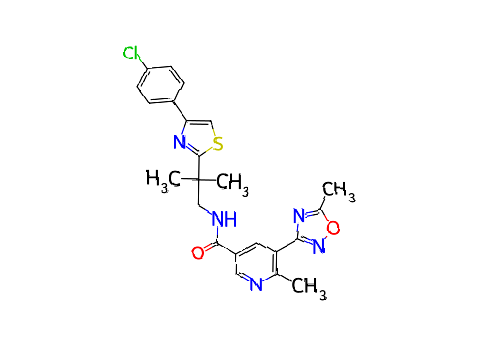 Cc1nc(-c2cc(C(=O)NCC(C)(C)c3nc(-c4ccc(Cl)cc4)cs3)cnc2C)no1